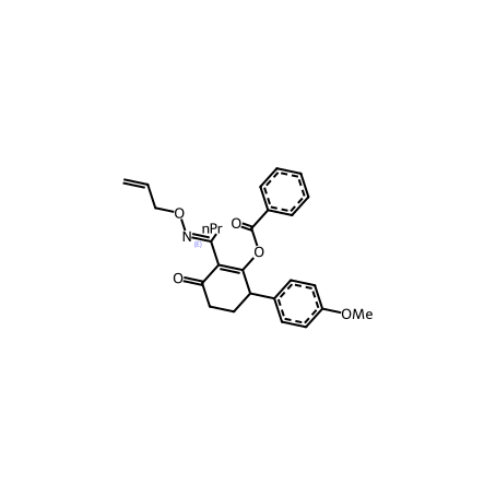 C=CCO/N=C(\CCC)C1=C(OC(=O)c2ccccc2)C(c2ccc(OC)cc2)CCC1=O